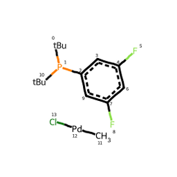 CC(C)(C)P(c1cc(F)cc(F)c1)C(C)(C)C.[CH3][Pd][Cl]